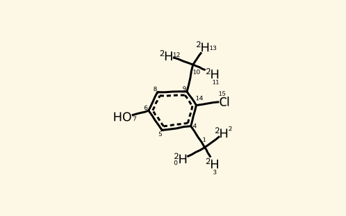 [2H]C([2H])([2H])c1cc(O)cc(C([2H])([2H])[2H])c1Cl